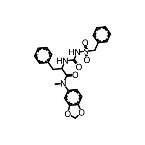 CN(C(=O)C(Cc1ccccc1)NC(=O)NS(=O)(=O)Cc1ccccc1)c1ccc2c(c1)OCO2